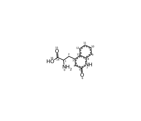 NC(Cc1cc(=O)[nH]c2ccccc12)C(=O)O